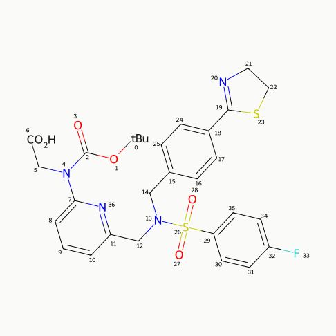 CC(C)(C)OC(=O)N(CC(=O)O)c1cccc(CN(Cc2ccc(C3=NCCS3)cc2)S(=O)(=O)c2ccc(F)cc2)n1